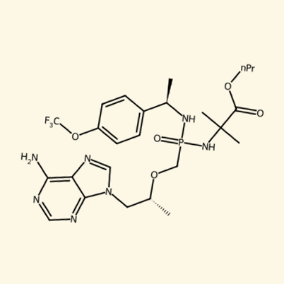 CCCOC(=O)C(C)(C)NP(=O)(CO[C@H](C)Cn1cnc2c(N)ncnc21)N[C@H](C)c1ccc(OC(F)(F)F)cc1